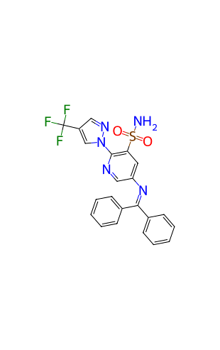 NS(=O)(=O)c1cc(N=C(c2ccccc2)c2ccccc2)cnc1-n1cc(C(F)(F)F)cn1